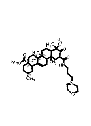 COC(=O)[C@]12CC[C@H](C)CC1C1=CCC3C4(C)CC(C(=O)NCCCN5CCOCC5)C(=O)C(C)(C)C4CC[C@@]3(C)[C@]1(C)CC2